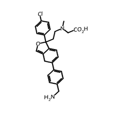 CN(CCC1(c2ccc(Cl)cc2)OC=C2CC(c3ccc(CN)cc3)=CC=C21)CC(=O)O